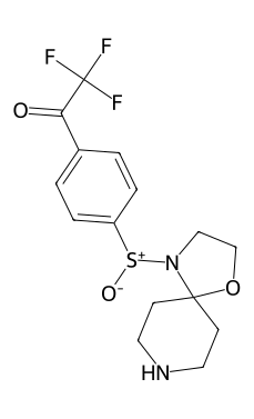 O=C(c1ccc([S+]([O-])N2CCOC23CCNCC3)cc1)C(F)(F)F